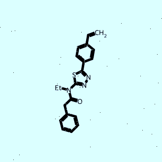 C=Cc1ccc(-c2nnc(N(CC)C(=O)Cc3ccccc3)s2)cc1